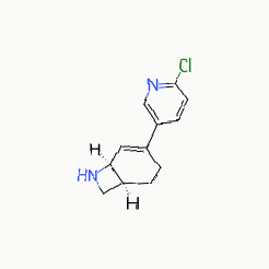 Clc1ccc(C2=C[C@@H]3NC[C@@H]3CC2)cn1